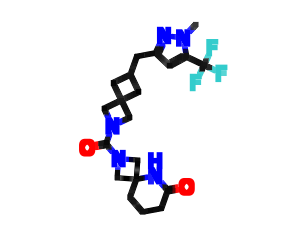 Cn1nc(CC2CC3(C2)CN(C(=O)N2CC4(CCCC(=O)N4)C2)C3)cc1C(F)(F)F